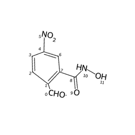 O=[C]c1ccc([N+](=O)[O-])cc1C(=O)NO